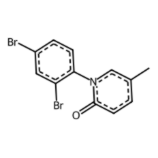 Cc1ccc(=O)n(-c2ccc(Br)cc2Br)c1